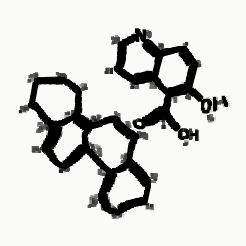 O=C(O)c1c(O)ccc2ncccc12.c1ccc2c(c1)ccc1c3c(ccc12)CCCC3